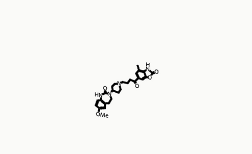 COc1ccc2c(c1)CCN(C1CCN(CCCC(=O)c3cc(C)c4[nH]c(=O)oc4c3)CC1)C(=O)N2